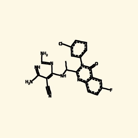 CC(NC(/N=C/N)=C(\C#N)C(=N)N)c1nc2ccc(F)cc2c(=O)n1-c1cccc(Cl)c1